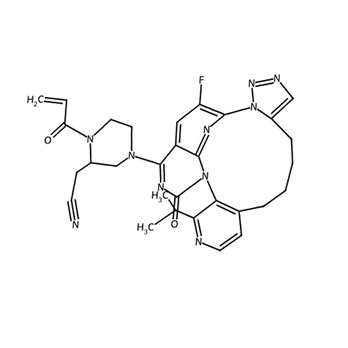 C=CC(=O)N1CCN(c2nc(=O)n3c4nc(c(F)cc24)-n2nncc2CCCCc2ccnc(C(C)C)c2-3)CC1CC#N